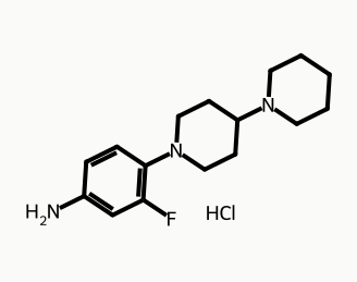 Cl.Nc1ccc(N2CCC(N3CCCCC3)CC2)c(F)c1